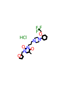 Cc1cn(Cc2ccco2)c(=O)n(CCCN2CCN(c3ccccc3OCC(F)(F)F)CC2)c1=O.Cl